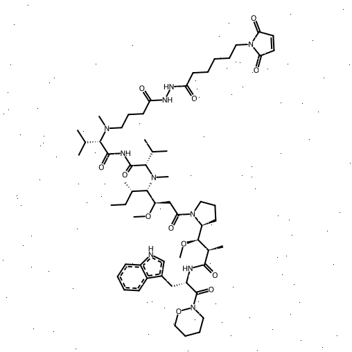 CC[C@H](C)[C@@H]([C@@H](CC(=O)N1CCC[C@H]1[C@H](OC)[C@@H](C)C(=O)N[C@@H](Cc1c[nH]c2ccccc12)C(=O)N1CCCCO1)OC)N(C)[C@H](C(=O)NC(=O)[C@H](C(C)C)N(C)CCCC(=O)NNC(=O)CCCCCN1C(=O)C=CC1=O)C(C)C